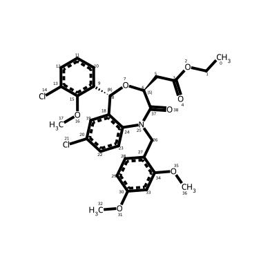 CCOC(=O)C[C@@H]1O[C@@H](c2cccc(Cl)c2OC)c2cc(Cl)ccc2N(Cc2ccc(OC)cc2OC)C1=O